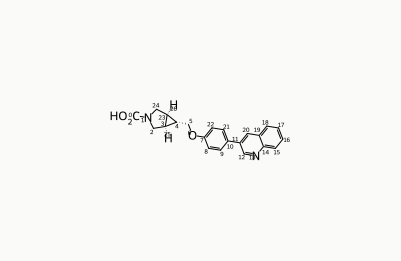 O=C(O)N1C[C@@H]2[C@@H](COc3ccc(-c4cnc5ccccc5c4)cc3)[C@@H]2C1